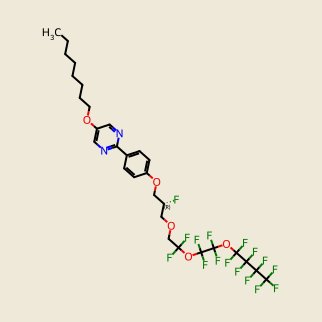 CCCCCCCCOc1cnc(-c2ccc(OC[C@H](F)COCC(F)(F)OC(F)(F)C(F)(F)OC(F)(F)C(F)(F)C(F)(F)C(F)(F)F)cc2)nc1